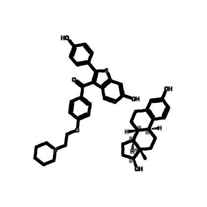 C[C@]12CC[C@@H]3c4ccc(O)cc4CC[C@H]3[C@@H]1CC[C@@H]2O.O=C(c1ccc(OCCN2CCCCC2)cc1)c1c(-c2ccc(O)cc2)sc2cc(O)ccc12